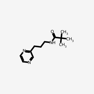 CC(C)(C)C(=O)NCCCc1cnccn1